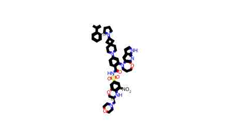 C=C(C)c1ccccc1[C@@H]1CCCN1C1CC2(CCN(c3ccc(C(=O)NS(=O)(=O)c4cc5c(c([N+](=O)[O-])c4)N[C@@H](CN4CCOCC4)CO5)c(N4CCCOc5nc6[nH]ccc6cc54)c3)CC2)C1